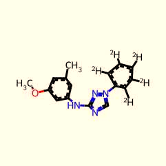 [2H]c1c([2H])c([2H])c(-n2cnc(Nc3cc(C)cc(OC)c3)n2)c([2H])c1[2H]